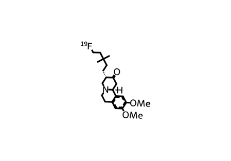 COc1cc2c(cc1OC)[C@@H]1CC(=O)[C@@H](CCC(C)(C)CC[19F])CN1CC2